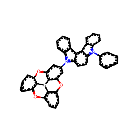 c1ccc(-n2c3ccccc3c3c4c5ccccc5n(-c5cc6c7c(c5)Oc5cccc8c5B7c5c(cccc5O6)O8)c4ccc32)cc1